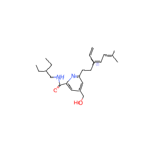 C=C/C(=C\C=C(C)C)CCc1cc(CO)cc(C(=O)NCC(CC)CC)n1